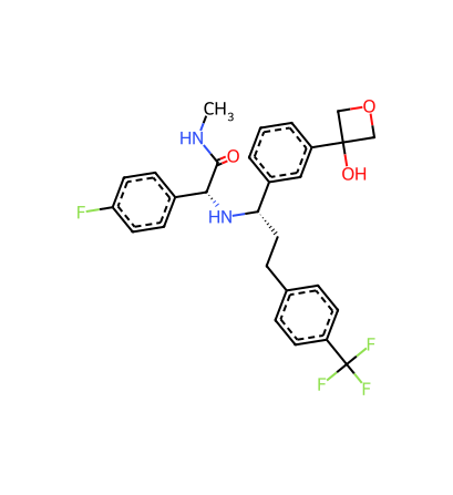 CNC(=O)[C@H](N[C@@H](CCc1ccc(C(F)(F)F)cc1)c1cccc(C2(O)COC2)c1)c1ccc(F)cc1